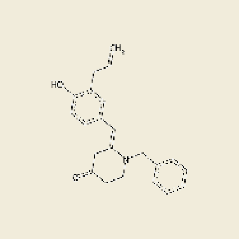 C=CCc1cc(C=C2CC(=O)CCN2Cc2ccccc2)ccc1O